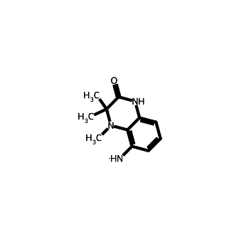 CN1c2c([NH])cccc2NC(=O)C1(C)C